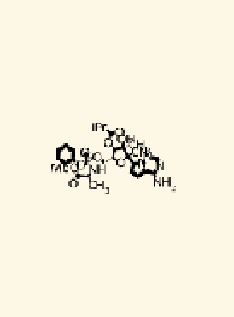 COC(=O)[C@H](C)N[P@](=O)(OC[C@H]1O[C@@](C#N)(c2ccc3c(N)ncnn23)[C@](C)(O)[C@@H]1OC(=O)C(C)C)Oc1ccccc1